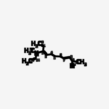 C=C/C(=C\CCCC=CC(C)Br)N(C)C=C